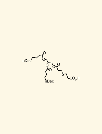 CCCCCCCCCCCCCC(=O)OCC(COC(=O)CCSCCC(=O)O)OC(=O)CCCCCCCCCCCCC